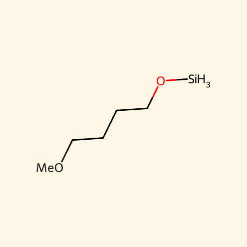 COCCCCO[SiH3]